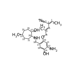 C/C=C(C#N)\C=C(/C)COc1cc(N)c(O)cc1CNC1CCC(C)CCC1O